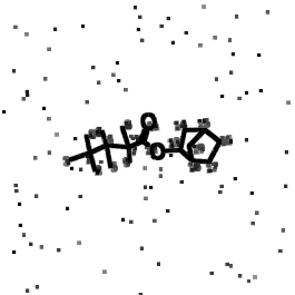 CC(C)(C)C(C)(C)C(C)(C)C(=O)OC1CC2CCC1C2